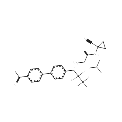 CC(=O)c1ccc(-c2ccc([C@H](N[C@@H](CC(C)C)C(=O)NC3(C#N)CC3)C(F)(F)C(F)(F)F)cc2)cc1